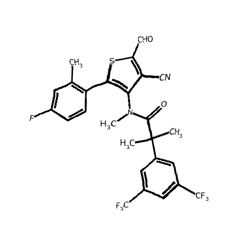 Cc1cc(F)ccc1-c1sc(C=O)c(C#N)c1N(C)C(=O)C(C)(C)c1cc(C(F)(F)F)cc(C(F)(F)F)c1